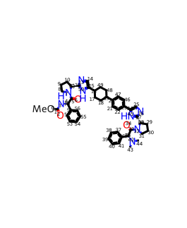 COC(=O)N[C@@H](C(=O)N1CCC[C@H]1c1ncc(C2CCC(c3ccc(-c4cnc([C@@H]5CCCN5C(=O)[C@@H](c5ccccc5)N(C)C)[nH]4)cc3)CC2)[nH]1)c1ccccc1